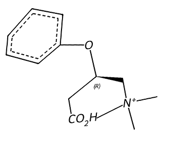 C[N+](C)(C)C[C@@H](CC(=O)O)Oc1ccccc1